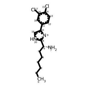 CCCCCC[C@@H](N)c1nc(-c2ccc(Cl)c(Cl)c2)c[nH]1